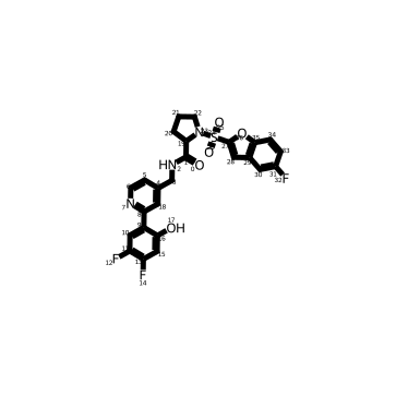 O=C(NCc1ccnc(-c2cc(F)c(F)cc2O)c1)C1CCCN1S(=O)(=O)c1cc2cc(F)ccc2o1